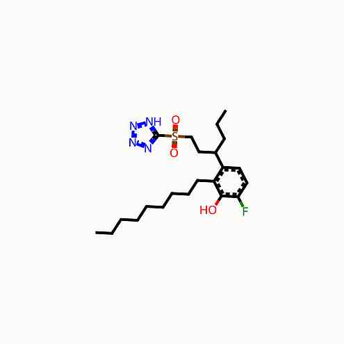 CCCCCCCCCc1c(C(CCC)CCS(=O)(=O)c2nnn[nH]2)ccc(F)c1O